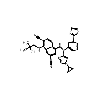 CC(C)(C)CNc1c(C#N)cnc2c(N[C@@H](c3cccc(-c4ncco4)c3)c3cn(C4CC4)nn3)cc(C#N)cc12